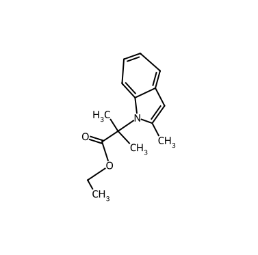 CCOC(=O)C(C)(C)n1c(C)cc2ccccc21